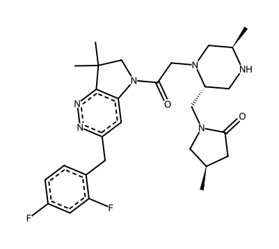 C[C@@H]1CC(=O)N(C[C@H]2CN[C@H](C)CN2CC(=O)N2CC(C)(C)c3nnc(Cc4ccc(F)cc4F)cc32)C1